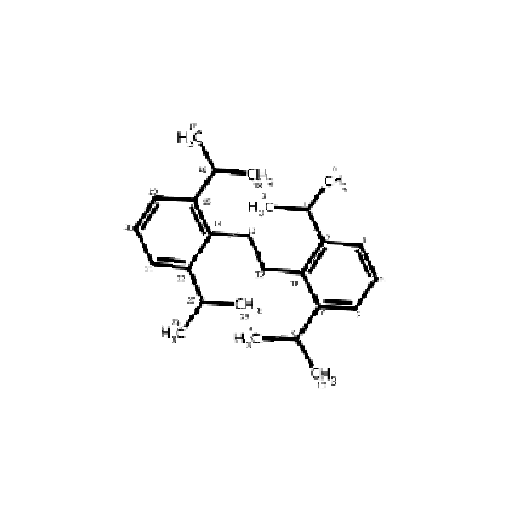 CC(C)c1cccc(C(C)C)c1CCc1c(C(C)C)cccc1C(C)C